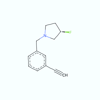 C#Cc1cccc(CN2CC[C@@H](F)C2)c1